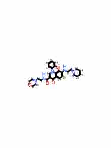 O=C(NCCN1CCOCC1)c1cn2c3c(c(NCCN4CCCCC4)c(F)cc3c1=O)Oc1ccccc1-2